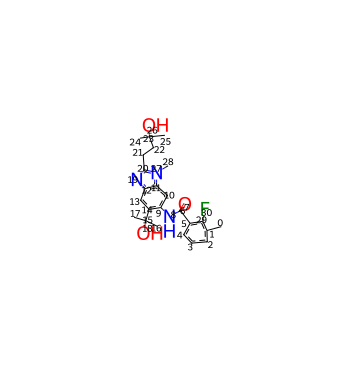 Cc1cccc(C(=O)Nc2cc3c(cc2C(C)(C)O)nc(CCC(C)(C)O)n3C)c1F